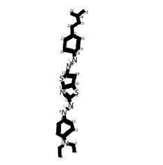 CCN(CC)c1ccc(/N=N/c2nc3sc(/N=N/c4ccc(CCC(C)C)cc4)cc3s2)cc1